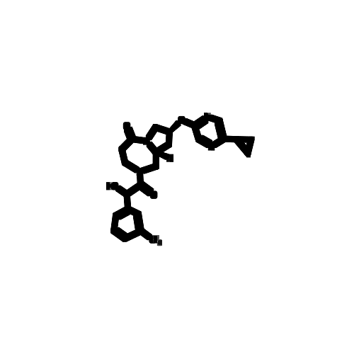 O=C(C(O)c1cccc(C(F)(F)F)c1)N1CCC(=O)N2C[C@@H](Oc3cnc(C4CC4)cn3)C[C@@H]2C1